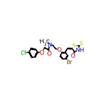 CN(CCOc1ccc(Br)cc1C=C1SC(=S)NC1=O)C(=O)COc1ccc(Cl)cc1